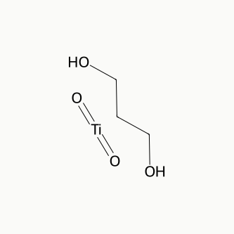 OCCCO.[O]=[Ti]=[O]